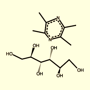 Cc1nc(C)c(C)nc1C.OC[C@@H](O)[C@@H](O)[C@H](O)[C@H](O)CO